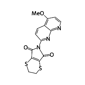 COc1ccnc2nc(N3C(=O)C4=C(SCCS4)C3=O)ccc12